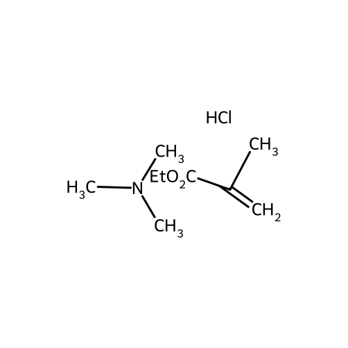 C=C(C)C(=O)OCC.CN(C)C.Cl